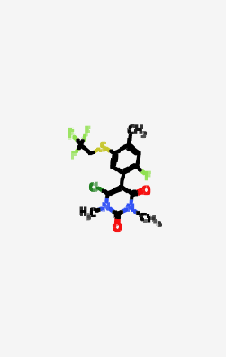 Cc1cc(F)c(-c2c(Cl)n(C)c(=O)n(C)c2=O)cc1SCC(F)(F)F